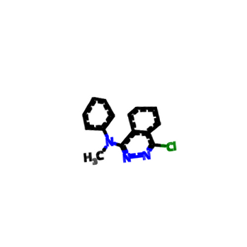 CN(c1ccccc1)c1nnc(Cl)c2ccccc12